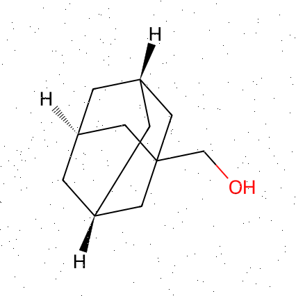 OCC12C[C@H]3C[C@@H](C1)C[C@@H](C2)C3